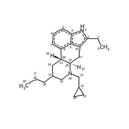 CCc1[nH]c2cccc3c2c1C[C@@H]1[C@@H]3CC(CSC)CN1CC1CC1